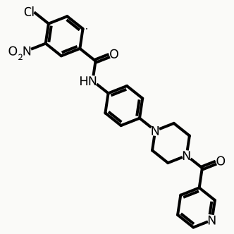 O=C(Nc1ccc(N2CCN(C(=O)c3cccnc3)CC2)cc1)c1[c]cc(Cl)c([N+](=O)[O-])c1